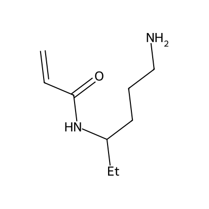 C=CC(=O)NC(CC)CCCN